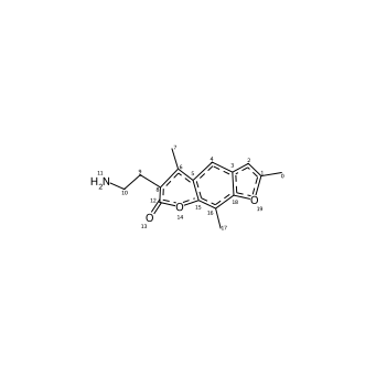 Cc1cc2cc3c(C)c(CCN)c(=O)oc3c(C)c2o1